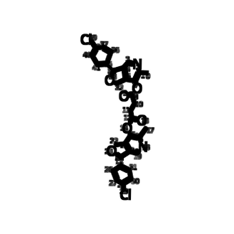 Cc1ncc2c(c1OC(=O)CCC(=O)Oc1c(C)ncc3c1CO[C@H]3c1ccc(Cl)cc1)CO[C@H]2c1ccc(Cl)cc1